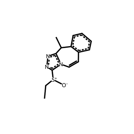 CC[S+]([O-])c1nnc2n1C=Cc1ccccc1C2C